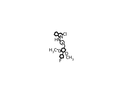 CCOc1cc(CN2CCC(Nc3nc(Cl)cc4ccccc34)CC2)cc(OCC)c1-c1ccc(F)cc1